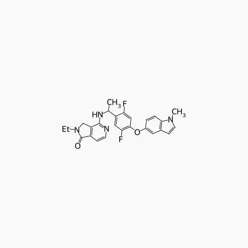 CCN1Cc2c(ccnc2NC(C)c2cc(F)c(Oc3ccc4c(ccn4C)c3)cc2F)C1=O